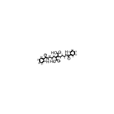 O=C(O)/C(CCCNC(=O)c1ccccc1)=C(\CCCNC(=O)c1ccccc1)C(=O)O